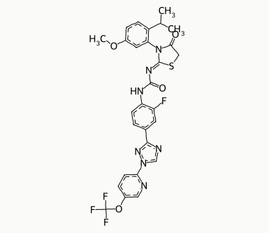 COc1ccc(C(C)C)c(N2C(=O)CSC2=NC(=O)Nc2ccc(-c3ncn(-c4ccc(OC(F)(F)F)cn4)n3)cc2F)c1